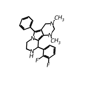 CN1Cc2c(c3n(c2-c2ccccc2)CCNC3c2cccc(F)c2F)N(C)C1